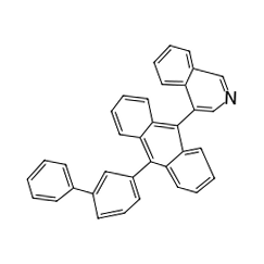 c1ccc(-c2cccc(-c3c4ccccc4c(-c4cncc5ccccc45)c4ccccc34)c2)cc1